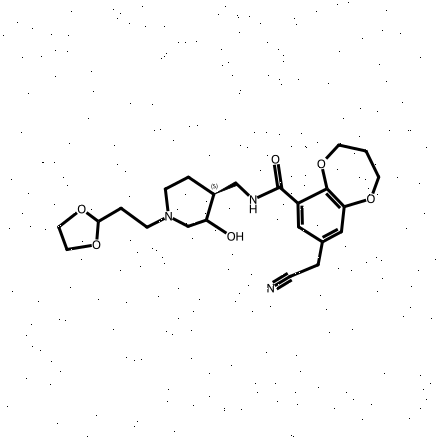 N#CCc1cc2c(c(C(=O)NC[C@@H]3CCN(CCC4OCCO4)CC3O)c1)OCCCO2